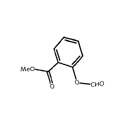 COC(=O)c1ccccc1OC=O